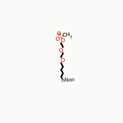 CCCCCCCCCCCCCCOCCOCCOS(C)(=O)=O